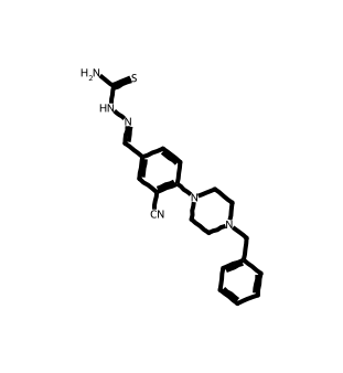 N#Cc1cc(C=NNC(N)=S)ccc1N1CCN(Cc2ccccc2)CC1